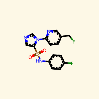 O=S(=O)(Nc1ccc(F)cc1)c1cncn1-c1ccc(CF)cn1